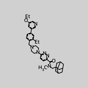 CCOc1cncc(-c2ccc(CN3CCN(c4ccc(C(=O)N(C)CC56CC7CC(CC(C7)C5)C6)nn4)CC3)c(CC)c2)c1